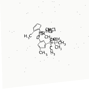 CC1=[C]([Ti]([O]c2cc(C)cc([Si](C)(C)C(C)(C)C)c2)[SiH](C)C)CC=C1.Cl.Cl